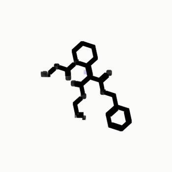 CC(C)(C)OC(=O)N1CCCC/C1=C(/C(=O)OCN)C(=O)OCc1ccccc1